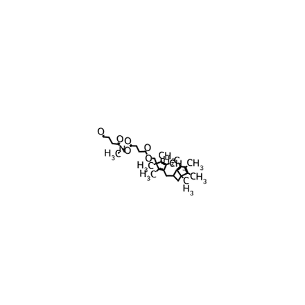 CC1=C(C)C(C)(COC(=O)CCC(=O)ON(C)C(=O)CCC=O)C(C)=C1CC1CC2(C)C(C)=C(C)C(C)=C12